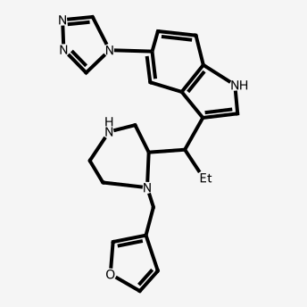 CCC(c1c[nH]c2ccc(-n3cnnc3)cc12)C1CNCCN1Cc1ccoc1